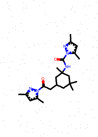 Cc1cc(C)n(C(=O)CC2CC(C)(C)CC(C)(NC(=O)n3nc(C)cc3C)C2)n1